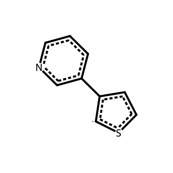 [c]1sccc1-c1cccnc1